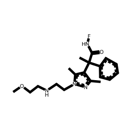 COCCNCCn1nc(C)c(C(C)(C(=O)NF)c2ccccc2)c1C